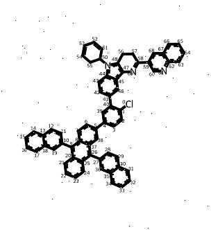 Clc1ccc(-c2ccc3c(-c4ccc5ccccc5c4)c4ccccc4c(-c4ccc5ccccc5c4)c3c2)cc1-c1ccc2c(c1)c1c(n2C2C=CC=CC2)CCC(c2cnc3ccccc3c2)=N1